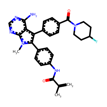 C=C(C)C(=O)Nc1ccc(-c2c(-c3ccc(C(=O)N4CCC(F)CC4)cc3)c3c(N)ncnc3n2C)cc1